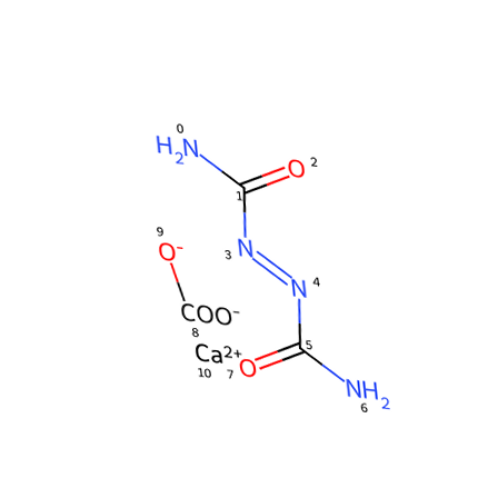 NC(=O)N=NC(N)=O.O=C([O-])[O-].[Ca+2]